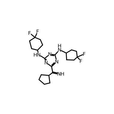 N=C(c1nc(NC2CCC(F)(F)CC2)nc(NC2CCC(F)(F)CC2)n1)C1CCCC1